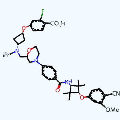 COc1cc(O[C@H]2C(C)(C)[C@H](NC(=O)c3ccc(N4CCOC(CN(C(C)C)[C@H]5C[C@H](Oc6ccc(C(=O)O)c(F)c6)C5)C4)cc3)C2(C)C)ccc1C#N